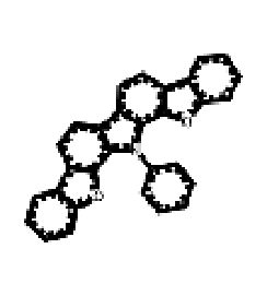 c1ccc(-n2c3c(ccc4c5ccccc5oc43)c3ccc4c5ccccc5oc4c32)cc1